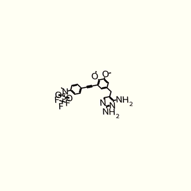 COc1cc(Cc2cnc(N)nc2N)cc(C#Cc2ccc(N(C)S(=O)(=O)C(F)(F)F)cc2)c1OC